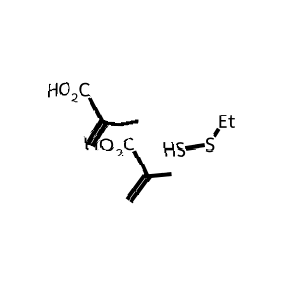 C=C(C)C(=O)O.C=C(C)C(=O)O.CCSS